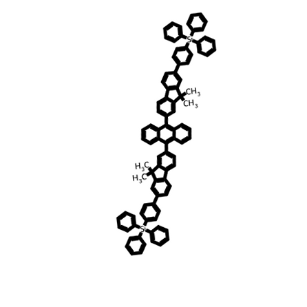 CC1(C)c2cc(-c3ccc([Si](c4ccccc4)(c4ccccc4)c4ccccc4)cc3)ccc2-c2ccc(-c3c4ccccc4c(-c4ccc5c(c4)C(C)(C)c4cc(-c6ccc([Si](c7ccccc7)(c7ccccc7)c7ccccc7)cc6)ccc4-5)c4ccccc34)cc21